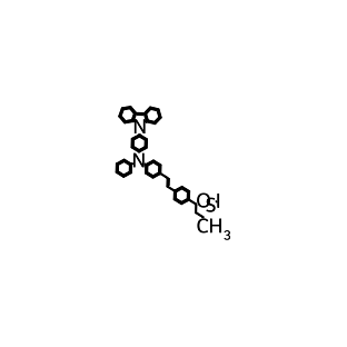 CCCC(OSI)c1ccc(/C=C/c2ccc(N(c3ccccc3)c3ccc(-n4c5ccccc5c5ccccc54)cc3)cc2)cc1